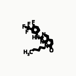 CCCCCn1c(=O)ccc2cnc(Nc3ccc(F)c(C(F)(F)F)c3)nc21